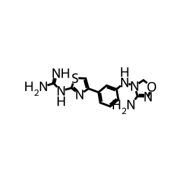 N=C(N)Nc1nc(-c2cccc(NN3CON=C3N)c2)cs1